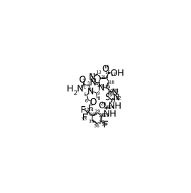 NC(=O)C(N1CCOCC1)n1ncc2c(C(=O)O)cc(-c3nnc(NC(=O)Nc4cc(C(F)(F)F)ccc4F)s3)nc21